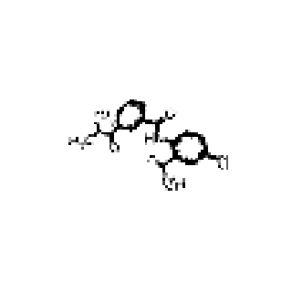 CC(C)C(=O)c1cccc(C(=O)Nc2ccc(Cl)cc2C(=O)O)c1